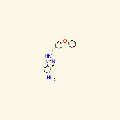 Nc1ccc2nc(NCCc3ccc(Oc4ccccc4)cc3)ncc2c1